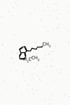 C=C.CCCCCCc1cccc2ccccc12